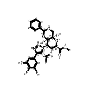 COC(=O)[C@@H]1O[C@@H]2COC(c3ccccc3)O[C@@H]2[C@H](n2cc(-c3cc(F)c(F)c(F)c3)nn2)[C@H]1OC(C)=O